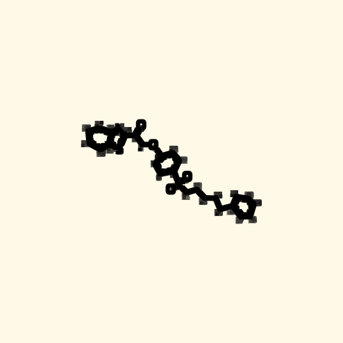 O=C(COc1ccc(S(=O)(=O)CCCCCc2ccccc2)cc1)c1nc2ccccc2s1